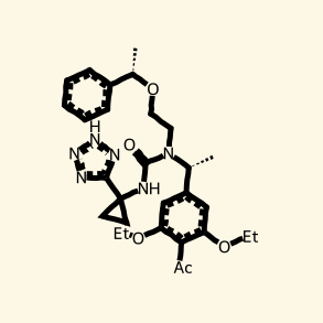 CCOc1cc([C@@H](C)N(CCO[C@@H](C)c2ccccc2)C(=O)NC2(c3nn[nH]n3)CC2)cc(OCC)c1C(C)=O